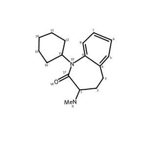 CNC1CCc2ccccc2N(C2CCCCC2)C1=O